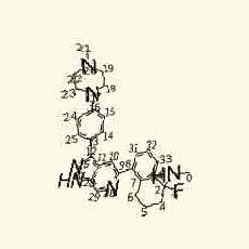 CNC1(F)CCCc2c(-c3cc4c(-c5ccc(N6CCN(C)CC6)cc5)n[nH]c4cn3)cccc21